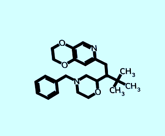 CC(C)(C)[C](Cc1cc2c(cn1)OCCO2)C1CN(Cc2ccccc2)CCO1